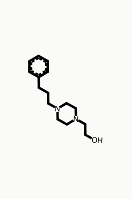 OCCN1CCN(CCCc2ccccc2)CC1